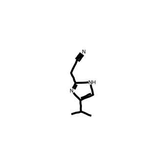 CC(C)c1c[nH]c(CC#N)n1